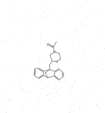 CC(=O)N1CCOC(CC23CC(c4ccccc42)c2ccccc23)C1